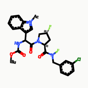 CC(=O)n1cc(C(NC(=O)OC(C)(C)C)C(=O)N2C[C@H](F)C[C@H]2C(=O)N(F)Cc2cccc(Cl)c2)c2ccccc21